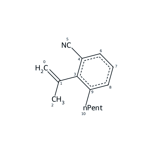 C=C(C)c1c(C#N)cccc1CCCCC